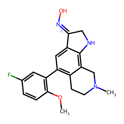 COc1ccc(F)cc1-c1cc2c(c3c1CCN(C)C3)NC/C2=N\O